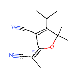 C/C(C#N)=C1\OC(C)(C)C(C(C)C)=C1C#N